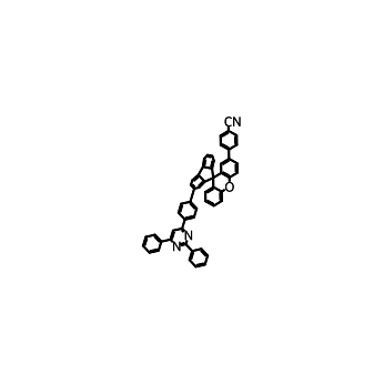 N#Cc1ccc(-c2ccc3c(c2)C2(c4ccccc4O3)c3ccccc3-c3ccc(-c4ccc(-c5cc(-c6ccccc6)nc(-c6ccccc6)n5)cc4)cc32)cc1